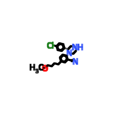 COCCCCc1ccc(N2CCNC[C@H]2c2ccc(Cl)cc2)c(C#N)c1